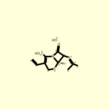 C=CC1=C(C(=O)O)N2C(=O)C(N=C(C)C)[C@H]2SC1.Cl